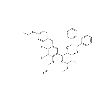 C=CCOc1c(C2O[C@H](CC)[C@@H](C)[C@H](OCc3ccccc3)[C@H]2OCc2ccccc2)cc(Cc2ccc(OCC)cc2)c(Cl)c1Br